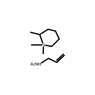 C=CCNC(C)=O.CC1CCCC[Si]1(C)C